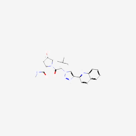 CNC(=O)[C@@H]1C[C@@H](O)CN1C(=O)[C@@H](n1cc(-c2ccc3ccccc3n2)nn1)C(C)(C)C